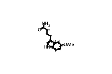 COc1ccc2[nH]cc(CCCC(N)=O)c2c1